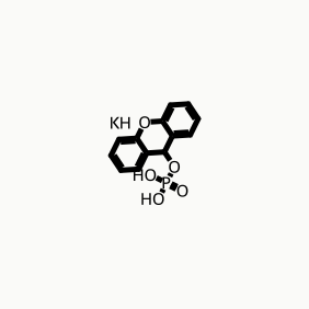 O=P(O)(O)OC1c2ccccc2Oc2ccccc21.[KH]